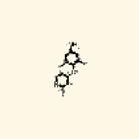 Cc1cc(N)cc(C)c1Oc1ccnc(Cl)c1